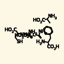 C=C(N)C(=O)O.C=C(N)C(=O)O.C[C@H](N)C(=O)O.N[C@@H](CS)C(=O)O.N[C@@H](Cc1ccccc1)C(=O)O